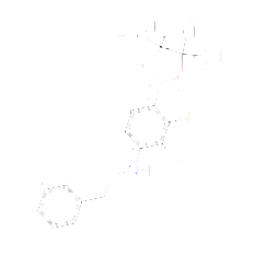 CC1(C)OB(c2ccc(NSCc3ccccc3)c(F)c2F)OC1(C)C